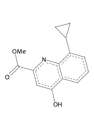 COC(=O)c1cc(O)c2cccc(C3CC3)c2n1